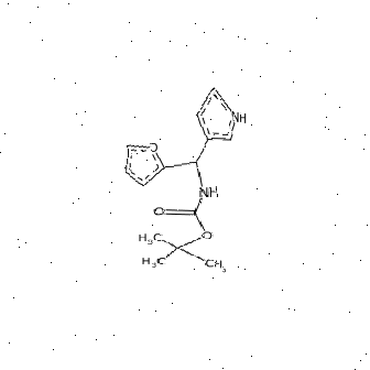 CC(C)(C)OC(=O)NC(c1cc[nH]c1)c1ccco1